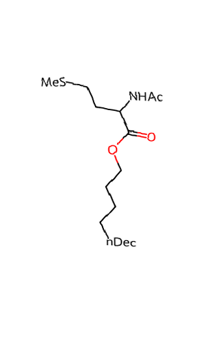 CCCCCCCCCCCCCCOC(=O)C(CCSC)NC(C)=O